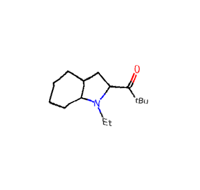 CCN1C(C(=O)C(C)(C)C)CC2CCCCC21